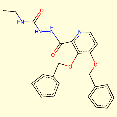 CCNC(=O)NNC(=O)c1nccc(OCc2ccccc2)c1OCc1ccccc1